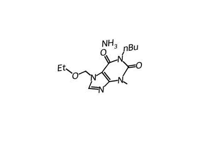 N.[CH2]CCCn1c(=O)c2c(ncn2COCC)n(C)c1=O